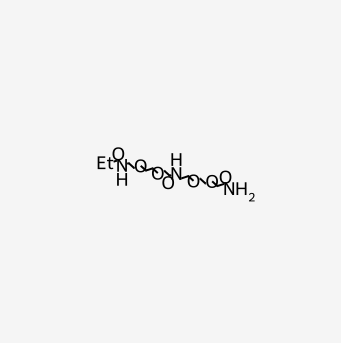 CCC(=O)NCCOCCOCC(=O)NCCOCCOCC(N)=O